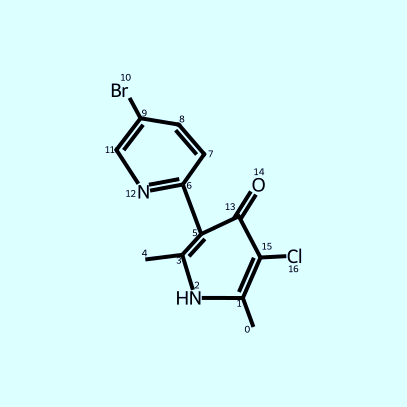 Cc1[nH]c(C)c(-c2ccc(Br)cn2)c(=O)c1Cl